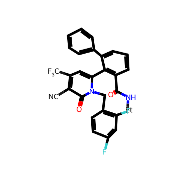 CCNC(=O)c1cccc(-c2ccccc2)c1-c1cc(C(F)(F)F)c(C#N)c(=O)n1Cc1ccc(F)cc1F